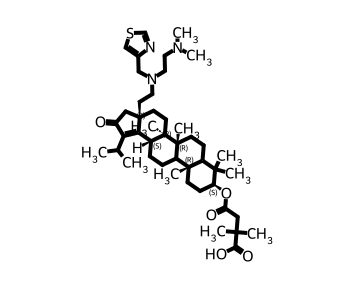 CC(C)C1=C2[C@H]3CCC4[C@@]5(C)CC[C@H](OC(=O)CC(C)(C)C(=O)O)C(C)(C)C5CC[C@@]4(C)[C@]3(C)CC[C@@]2(CCN(CCN(C)C)Cc2cscn2)CC1=O